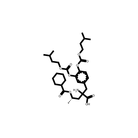 CC(C)CCOC(=O)Oc1ccc(CC(N)(C[C@H](C)OC(=O)C2CCCCC2)C(=O)O)cc1OC(=O)OCCC(C)C